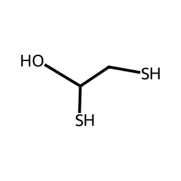 OC(S)CS